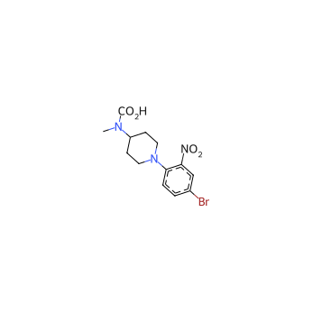 CN(C(=O)O)C1CCN(c2ccc(Br)cc2[N+](=O)[O-])CC1